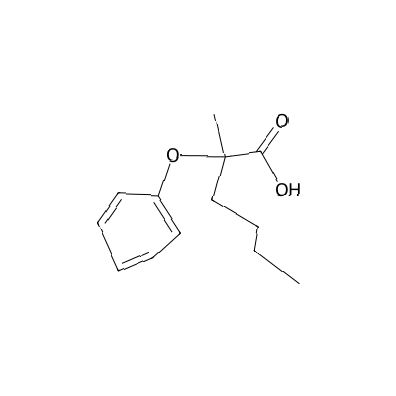 CCCCC(C)(Oc1ccccc1)C(=O)O